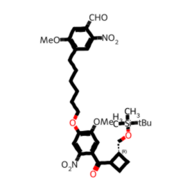 COc1cc(C=O)c([N+](=O)[O-])cc1CCCCCCOc1cc([N+](=O)[O-])c(C(=O)C2CC[C@H]2CO[Si](C)(C)C(C)(C)C)cc1OC